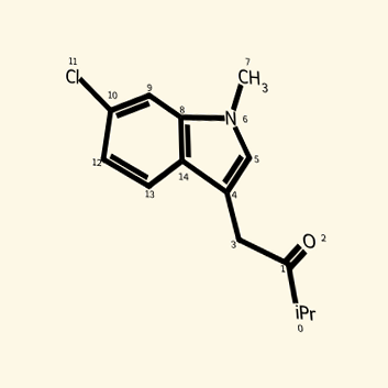 CC(C)C(=O)Cc1cn(C)c2cc(Cl)ccc12